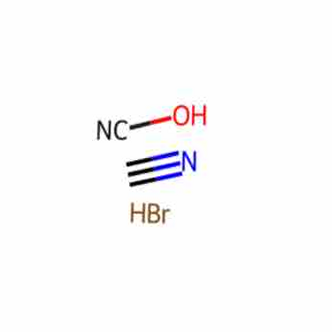 Br.C#N.N#CO